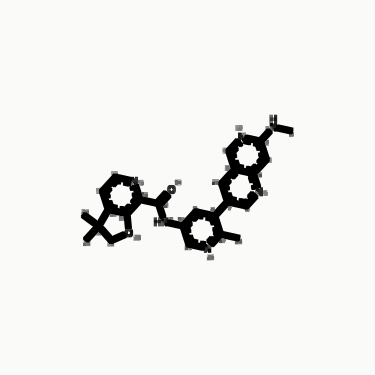 CNc1cc2ncc(-c3cc(NC(=O)c4nccc5c4OCC5(C)C)cnc3C)cc2cn1